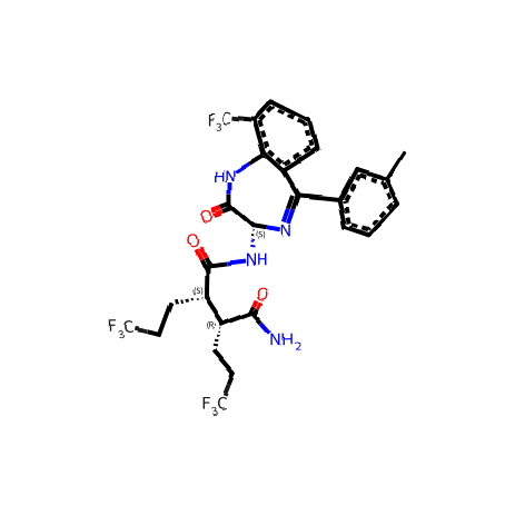 Cc1cccc(C2=N[C@H](NC(=O)[C@@H](CCC(F)(F)F)[C@@H](CCC(F)(F)F)C(N)=O)C(=O)Nc3c2cccc3C(F)(F)F)c1